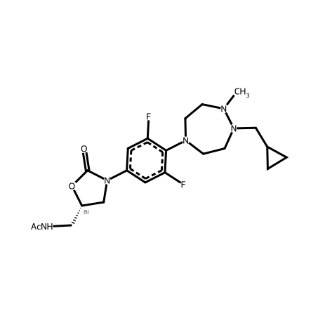 CC(=O)NC[C@H]1CN(c2cc(F)c(N3CCN(C)N(CC4CC4)CC3)c(F)c2)C(=O)O1